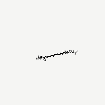 CCCNC(=O)CCCCCCCCCCCCCCNCC(=O)O